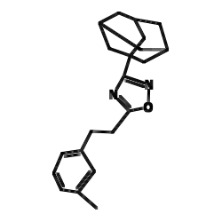 Cc1cccc(CCc2nc(C34CC5CC(CC(C5)C3)C4)no2)c1